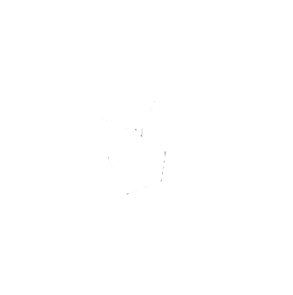 CC[N+]1(C)CC(C)C(C)C1C